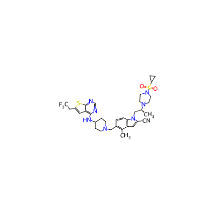 Cc1c(CN2CCC(Nc3ncnc4sc(CC(F)(F)F)cc34)CC2)ccc2c1cc(C#N)n2C[C@H](C)N1CCN(S(=O)(=O)C2CC2)CC1